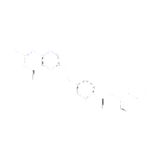 C=CC(CCN)NC(=C)c1ccc(NCc2cnc3c(n2)C(=C)NC(N)=N3)cc1